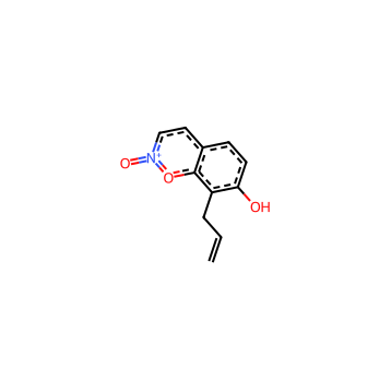 C=CCc1c(O)ccc2cc[n+](=O)oc12